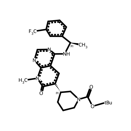 C[C@@H](Nc1ncnc2c1cc([C@H]1CCCN(C(=O)OC(C)(C)C)C1)c(=O)n2C)c1cccc(C(F)(F)F)c1